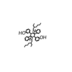 CCCCC(CC)Cn1c2c(c3ccccc31)C(c1cccc(O)c1)c1c(c3ccccc3n1CC(CC)CCCC)C2c1cccc(O)c1